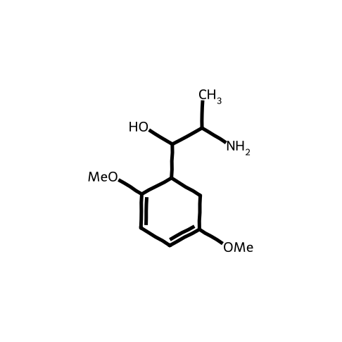 COC1=CC=C(OC)C(C(O)C(C)N)C1